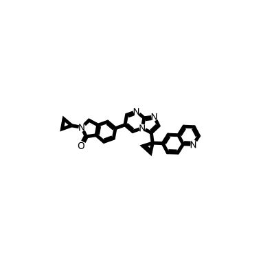 O=C1c2ccc(-c3cnc4ncc(C5(c6ccc7ncccc7c6)C=C5)n4c3)cc2CN1C1CC1